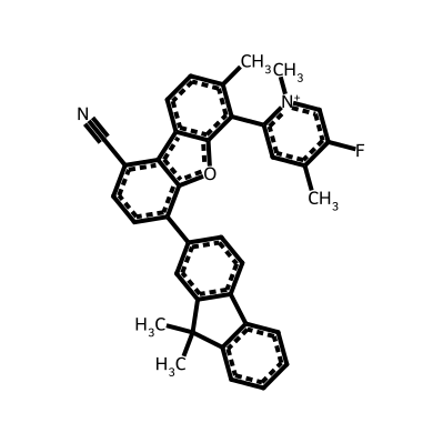 Cc1cc(-c2c(C)ccc3c2oc2c(-c4ccc5c(c4)C(C)(C)c4ccccc4-5)ccc(C#N)c23)[n+](C)cc1F